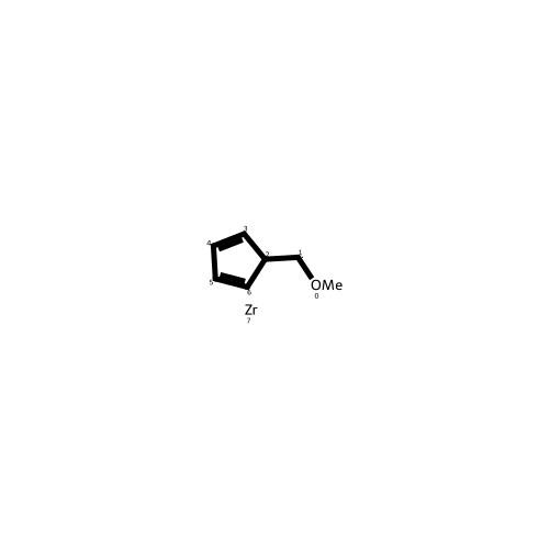 CO[CH]C1C=CC=C1.[Zr]